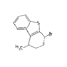 CC1CC=C(Br)c2sc3ccccc3c21